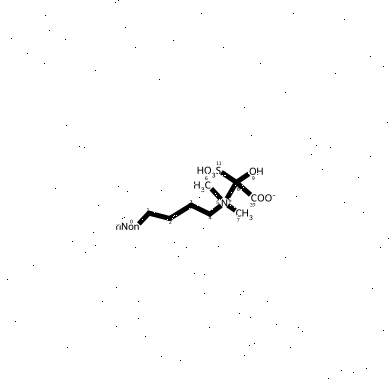 CCCCCCCCCCCCC[N+](C)(C)C(O)(C(=O)[O-])S(=O)(=O)O